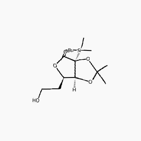 CCCC[Si](C)(C)[C@]12OC(C)(C)O[C@H]1[C@@H](CCO)OC2=O